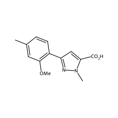 COc1cc(C)ccc1-c1cc(C(=O)O)n(C)n1